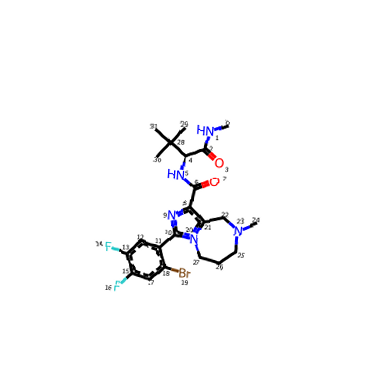 CNC(=O)[C@@H](NC(=O)c1nc(-c2cc(F)c(F)cc2Br)n2c1CN(C)CCC2)C(C)(C)C